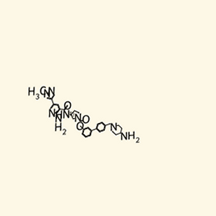 Cn1cc(-c2cnc(N)c(C(=O)N[C@@H]3CCN(C(=O)Oc4cccc(-c5ccc(CN6CCC(N)CC6)cc5)c4)C3)c2)cn1